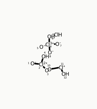 Cl.[O-][Cl+2]([O-])O.[O-][Cl+3]([O-])([O-])O.[O-][Cl+]O